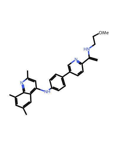 C=C(NCCOC)c1ccc(-c2ccc(Nc3cc(C)nc4c(C)cc(C)cc34)cc2)cn1